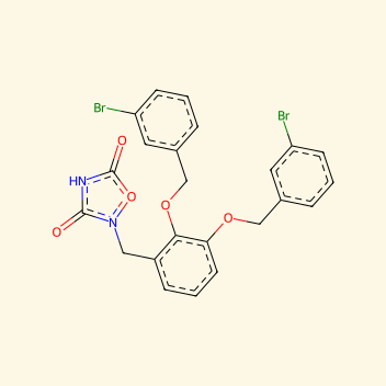 O=c1[nH]c(=O)n(Cc2cccc(OCc3cccc(Br)c3)c2OCc2cccc(Br)c2)o1